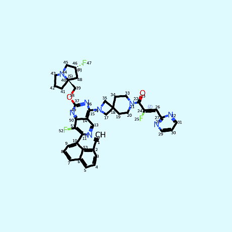 C#Cc1cccc2cccc(-c3ncc4c(N5CC6(CCN(C(=O)/C(F)=C/c7ncccn7)CC6)C5)nc(OC[C@@]56CCCN5C[C@H](F)C6)nc4c3F)c12